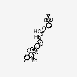 CCn1cc(S(=O)(=O)N2CCC3(CC2)C[C@@H](NC[C@H](O)COc2cccc(S(=O)(=O)C4CC4)c2)CO3)c(=O)c2ccc(C)cc21